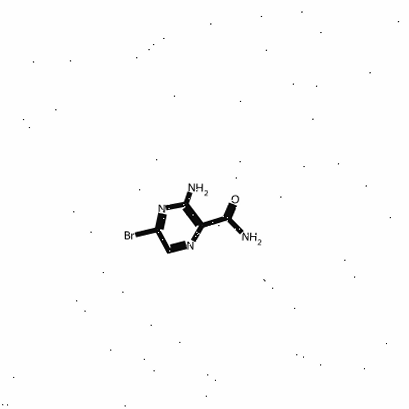 NC(=O)c1ncc(Br)nc1N